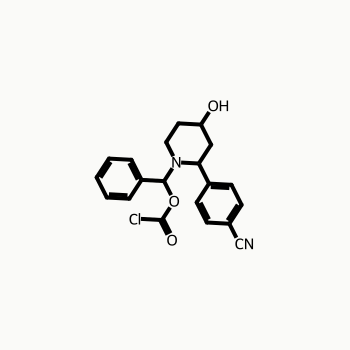 N#Cc1ccc(C2CC(O)CCN2C(OC(=O)Cl)c2ccccc2)cc1